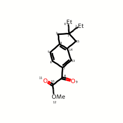 CCC1(CC)Cc2ccc(C(=O)C(=O)OC)cc2C1